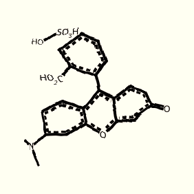 CN(C)c1ccc2c(-c3ccccc3C(=O)O)c3ccc(=O)cc-3oc2c1.O=S(=O)(O)O